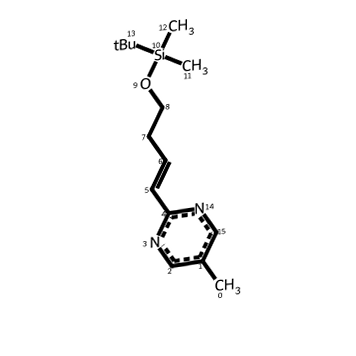 Cc1cnc(C=CCCO[Si](C)(C)C(C)(C)C)nc1